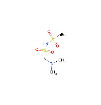 CCCCS(=O)(=O)NS(=O)(=O)CN(C)C